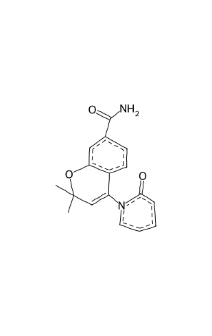 CC1(C)C=C(n2ccccc2=O)c2ccc(C(N)=O)cc2O1